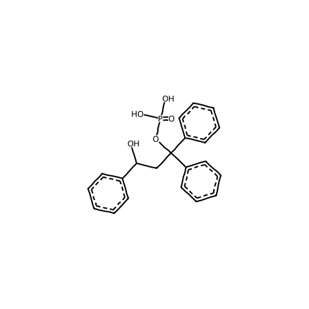 O=P(O)(O)OC(CC(O)c1ccccc1)(c1ccccc1)c1ccccc1